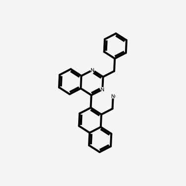 [N]Cc1c(-c2nc(Cc3ccccc3)nc3ccccc23)ccc2ccccc12